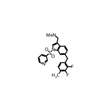 CNCc1cn(S(=O)(=O)c2cccnc2)c2cc(Cc3ccc(C)c(F)c3F)ccc12